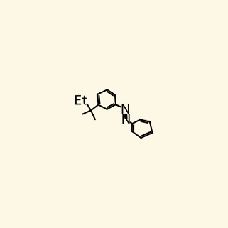 CCC(C)(C)c1cccc(N=Nc2ccccc2)c1